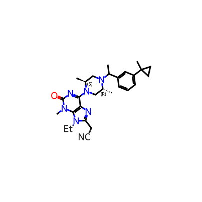 CCn1c(CC#N)nc2c(N3C[C@@H](C)N(C(C)c4cccc(C5(C)CC5)c4)C[C@@H]3C)nc(=O)n(C)c21